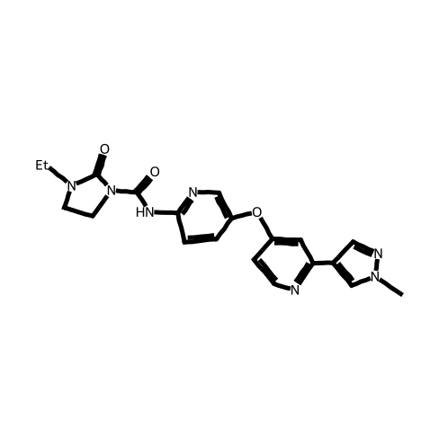 CCN1CCN(C(=O)Nc2ccc(Oc3ccnc(-c4cnn(C)c4)c3)cn2)C1=O